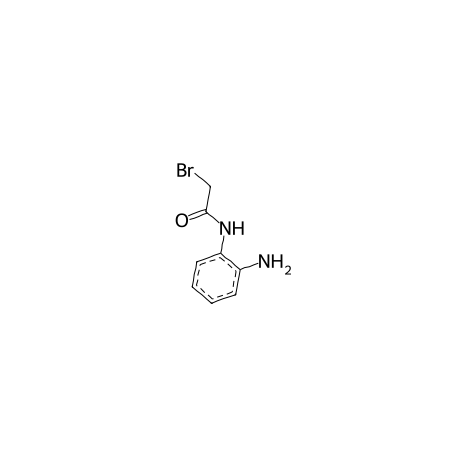 Nc1ccccc1NC(=O)CBr